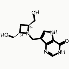 O=c1[nH]cnc2c(CN3[C@H](CO)C[C@H]3CO)c[nH]c12